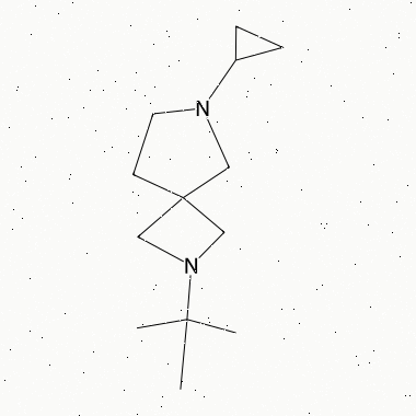 CC(C)(C)N1CC2(CCN(C3CC3)C2)C1